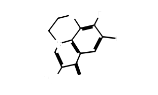 O=C(O)c1cn2c3c(c(F)c(F)cc3c1=O)SCC2